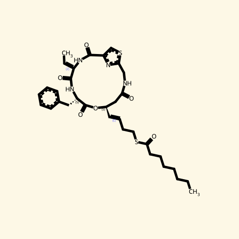 C/C=C1\NC(=O)c2csc(n2)CNC(=O)C[C@@H](/C=C/CCSC(=O)CCCCCCC)OC(=O)[C@H](Cc2ccccc2)NC1=O